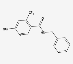 CC(C)(C)c1cc(C(F)(F)F)c(C(=O)NCc2ccccc2)cn1